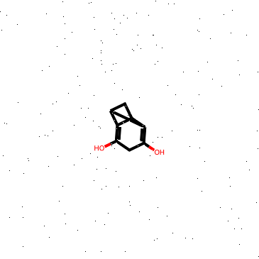 OC1=C2C3CC2C3=C(O)C1